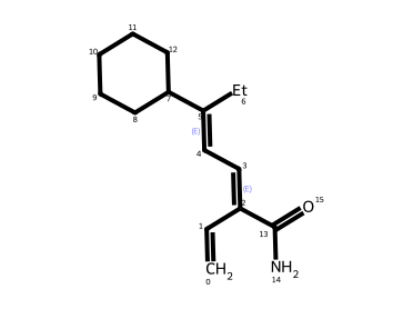 C=C/C(=C\C=C(/CC)C1CCCCC1)C(N)=O